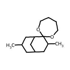 CC1CC2CC(C)C3(OCCCCO3)C(C1)C2